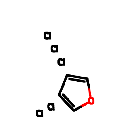 [C].[C].[C].[C].[C].c1ccoc1